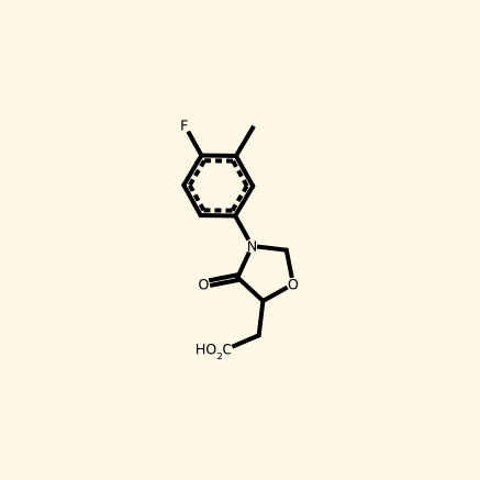 Cc1cc(N2COC(CC(=O)O)C2=O)ccc1F